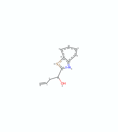 C=CCC(O)c1nc2ccccc2s1